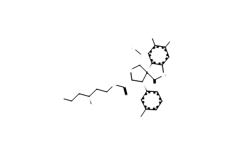 CC(C)(C)C[C@H]1N[C@@H](C(=O)NCC[C@@H](O)CCO)[C@H](c2cccc(Cl)c2)[C@@]12C(=O)Nc1cc(Cl)c(F)cc12